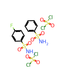 NS(=O)(=O)c1ccc(F)cc1.NS(=O)(=O)c1ccccc1.O=S(=O)(Cl)Cl.O=S(=O)(Cl)Cl